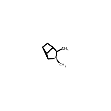 CC1C2CC3C2C3N1C